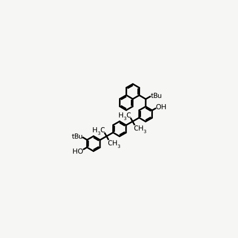 CC(C)(C)c1cc(C(C)(C)c2ccc(C(C)(C)c3ccc(O)c(C(c4cccc5ccccc45)C(C)(C)C)c3)cc2)ccc1O